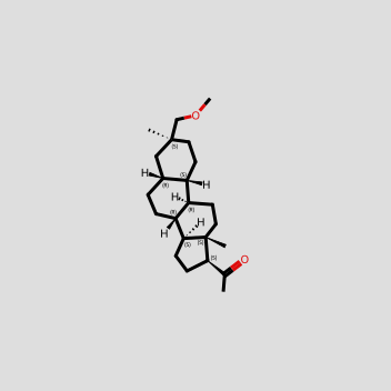 COC[C@@]1(C)CC[C@H]2[C@H](CC[C@@H]3[C@@H]2CC[C@]2(C)[C@@H](C(C)=O)CC[C@@H]32)C1